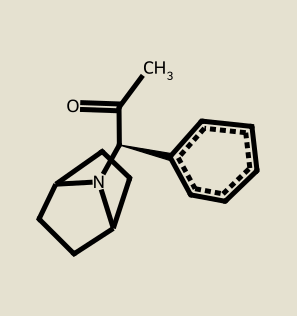 CC(=O)[C@@H](c1ccccc1)N1C2CCC1CC2